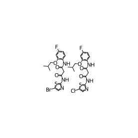 CC(C)COc1cc(F)ccc1NC(=O)CC(=O)Nc1ncc(Br)s1.CC(C)COc1cc(F)ccc1NC(=O)CC(=O)Nc1ncc(Cl)s1